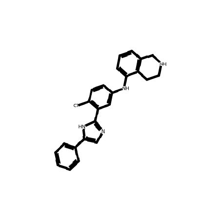 Clc1ccc(Nc2cccc3c2CCNC3)cc1-c1ncc(-c2ccccc2)[nH]1